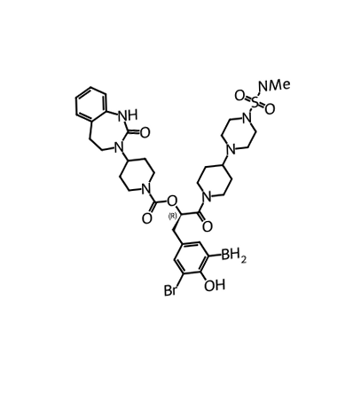 Bc1cc(C[C@@H](OC(=O)N2CCC(N3CCc4ccccc4NC3=O)CC2)C(=O)N2CCC(N3CCN(S(=O)(=O)NC)CC3)CC2)cc(Br)c1O